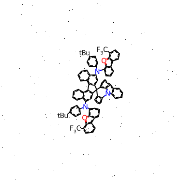 CC(C)(C)c1ccc(N(c2cc3c(c4ccccc24)-c2c(cc(N(c4ccc(C(C)(C)C)cc4)c4cccc5c4oc4c(C(F)(F)F)cccc45)c4ccccc24)C32c3ccccc3-n3c4ccccc4c4cccc2c43)c2cccc3c2oc2c(C(F)(F)F)cccc23)cc1